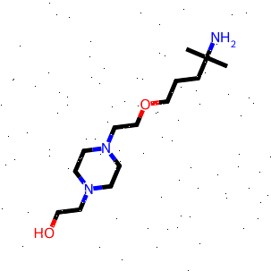 CC(C)(N)CCCOCCN1CCN(CCO)CC1